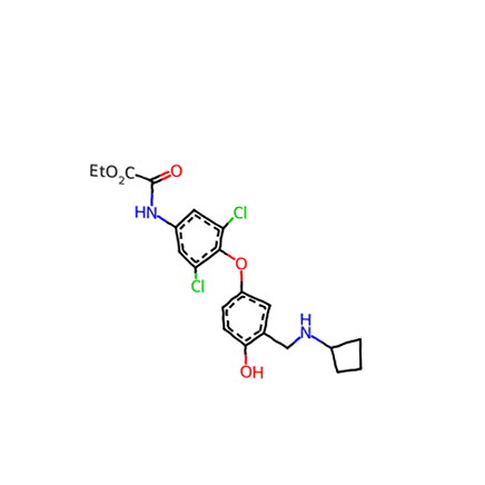 CCOC(=O)C(=O)Nc1cc(Cl)c(Oc2ccc(O)c(CNC3CCC3)c2)c(Cl)c1